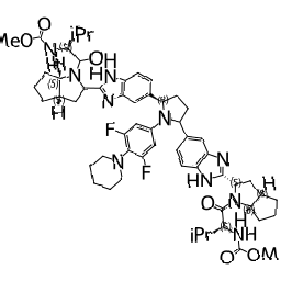 COC(=O)N[C@@H](C(C)C)C(O)N1C(c2nc3cc([C@H]4CCC(c5ccc6[nH]c([C@@H]7C[C@@H]8CCC[C@@H]8N7C(=O)[C@@H](NC(=O)OC)C(C)C)nc6c5)N4c4cc(F)c(N5CCCCC5)c(F)c4)ccc3[nH]2)C[C@@H]2CCC[C@@H]21